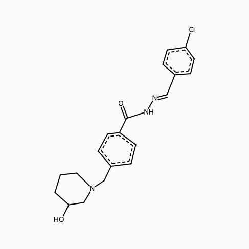 O=C(N/N=C/c1ccc(Cl)cc1)c1ccc(CN2CCCC(O)C2)cc1